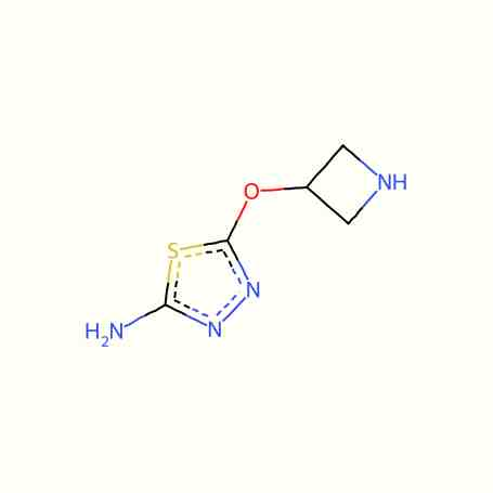 Nc1nnc(OC2CNC2)s1